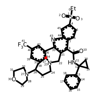 CCS(=O)(=O)c1ccc2c(C(=O)NC3(c4ccccc4)CC3)c(CN3CCC(N4CCOCC4)CC3)c(-c3cccc(C(F)(F)F)c3)nc2c1